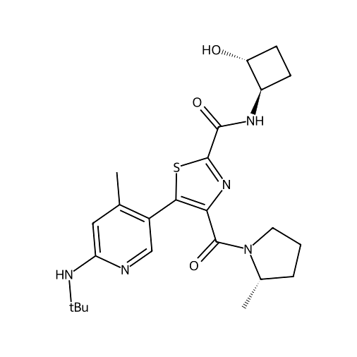 Cc1cc(NC(C)(C)C)ncc1-c1sc(C(=O)N[C@@H]2CC[C@H]2O)nc1C(=O)N1CCC[C@@H]1C